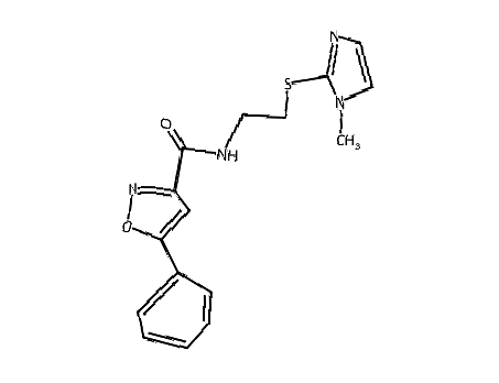 Cn1ccnc1SCCNC(=O)c1cc(-c2ccccc2)on1